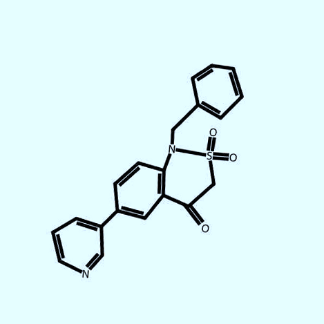 O=C1CS(=O)(=O)N(Cc2ccccc2)c2ccc(-c3cccnc3)cc21